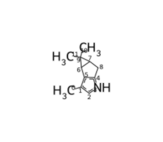 Cc1c[nH]c2c1C1C(C2)C1(C)C